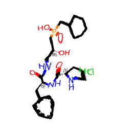 Cl.O=C(N[C@@H](Cc1ccccc1)C(=O)NC[C@@H](O)CP(=O)(O)CC1CCCCC1)[C@@H]1CCCN1